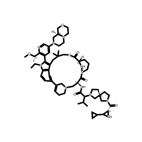 CCn1c(-c2cc(N3CCN4CCOC[C@@H]4C3)cnc2[C@H](C)OC)c2c3cc(ccc31)C1=CCCN(C1)C[C@H](NC(=O)C(C(C)C)N1CC[C@]3(CCN(C(=O)[C@@H]4NC4C4CC4)C3)C1)C(=O)N1CCC[C@H](N1)C(=O)OCC(C)(C)C2